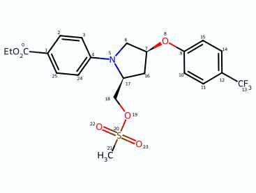 CCOC(=O)c1ccc(N2C[C@@H](Oc3ccc(C(F)(F)F)cc3)C[C@H]2COS(C)(=O)=O)cc1